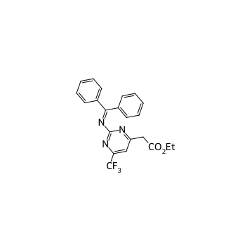 CCOC(=O)Cc1cc(C(F)(F)F)nc(N=C(c2ccccc2)c2ccccc2)n1